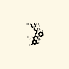 C[C@H](CC[C@@H]1[C@H](C)c2cc(Cl)cc(F)c2N[C@H]1C1C=CC=CC1)CN(CN)CCO